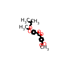 CCC(C)CCOC(CC)Oc1ccc(C(=O)CC(=O)c2ccc(C(=O)OC)cc2)cc1